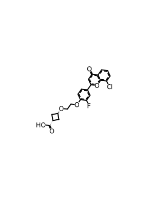 O=c1cc(-c2ccc(OCCO[C@H]3C[C@@H](C(=O)O)C3)c(F)c2)oc2c(Cl)cccc12